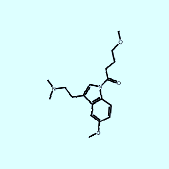 COCCCC(=O)n1cc(CCN(C)C)c2cc(OC)ccc21